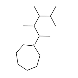 CC(C)C(C)C(C)C(C)N1CCCCCC1